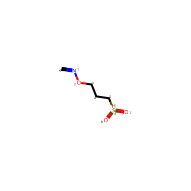 C=NOCCC[SH](=O)=O